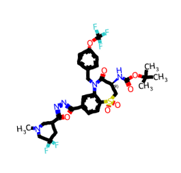 CN1CC(c2nnc(-c3ccc4c(c3)N(Cc3ccc(OC(F)(F)F)cc3)C(=O)[C@@H](NC(=O)OC(C)(C)C)CS4(=O)=O)o2)CC(F)(F)C1